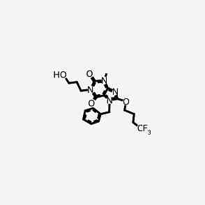 Cn1c(=O)n(CCCO)c(=O)c2c1nc(OCCCC(F)(F)F)n2Cc1ccccc1